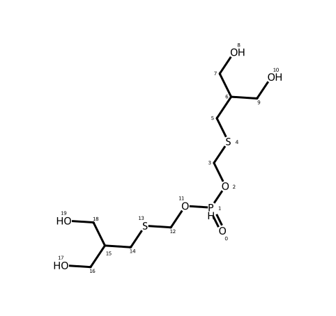 O=[PH](OCSCC(CO)CO)OCSCC(CO)CO